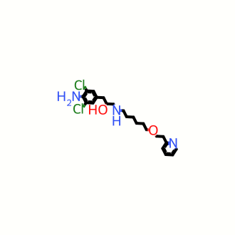 Nc1c(Cl)cc(CC(O)CNCCCCCCOCCc2ccccn2)cc1Cl